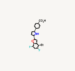 CCc1c(F)cc(F)c2oc(-c3ccc(-c4ccc(C(=O)O)cc4)[nH]3)cc12